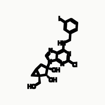 OC[C@@]12CC1C[C@](O)(n1cnc3c(NCc4cccc(I)c4)nc(Cl)nc31)[C@@H]2O